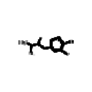 CCOC(=O)C(C)C(Cl)Cc1ccc(C(C)C)c(Cl)c1